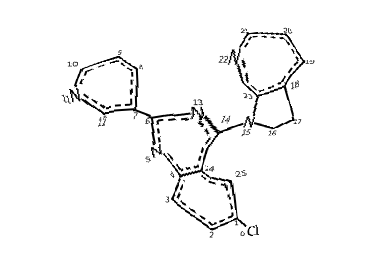 Clc1ccc2nc(-c3cccnc3)nc(N3CCc4cccnc43)c2c1